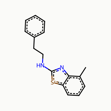 Cc1cccc2sc(NCCc3ccccc3)nc12